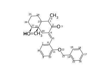 CC1C(=O)C(=Cc2ccccc2OCc2ccccc2)C[C@@]2(C)C1CCC[C@@H]2O